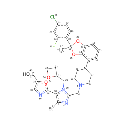 CCc1nc(CN2CCC(c3cccc4c3OC(C)(c3ccc(Cl)cc3F)O4)CC2)n(CC2CCO2)c1-c1ncc(C(=O)O)o1